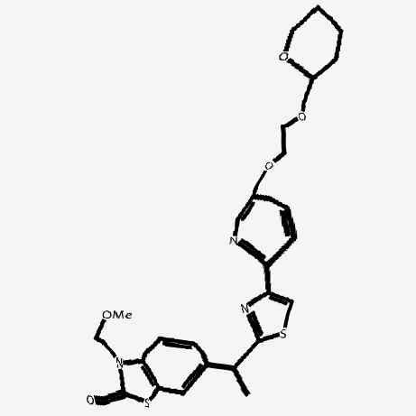 COCn1c(=O)sc2cc(C(C)c3nc(-c4ccc(OCCOC5CCCCO5)cn4)cs3)ccc21